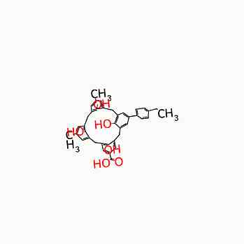 CCc1ccc(-c2cc3c(O)c(c2)Cc2cc(C(=O)O)cc(c2O)Cc2cc(C)cc(c2O)Cc2cc(C)cc(c2O)C3)cc1